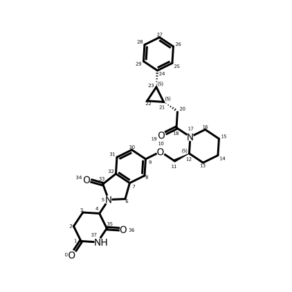 O=C1CCC(N2Cc3cc(OC[C@@H]4CCCCN4C(=O)C[C@@H]4C[C@@H]4c4ccccc4)ccc3C2=O)C(=O)N1